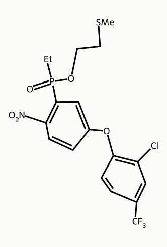 CCP(=O)(OCCSC)c1cc(Oc2ccc(C(F)(F)F)cc2Cl)ccc1[N+](=O)[O-]